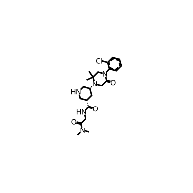 CN(C)C(=O)CNC(=O)[C@@H]1CNC[C@H](N2CC(=O)N(c3ccccc3Cl)CC2(C)C)C1